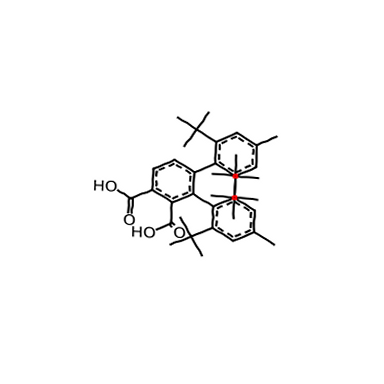 Cc1cc(C(C)(C)C)c(-c2ccc(C(=O)O)c(C(=O)O)c2-c2c(C(C)(C)C)cc(C)cc2C(C)(C)C)c(C(C)(C)C)c1